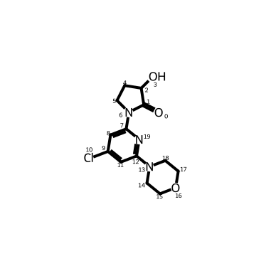 O=C1C(O)CCN1c1cc(Cl)cc(N2CCOCC2)n1